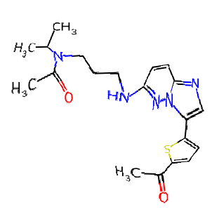 CC(=O)c1ccc(-c2cnc3ccc(NCCCN(C(C)=O)C(C)C)nn23)s1